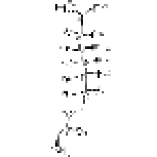 C=CC(=O)OCC(F)(F)C(F)(F)C(F)(F)C(F)(F)C(F)(F)C(C)F